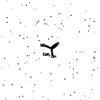 O=C(O)O.[CaH2]